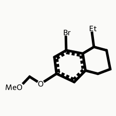 CCC1CCCc2cc(OCOC)cc(Br)c21